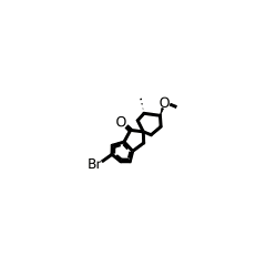 CO[C@H]1CCC2(Cc3ccc(Br)cc3C2=O)C[C@@H]1C